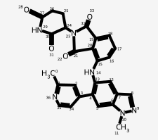 Cc1cc(-c2cc3c(cnn3C)cc2Nc2cccc3c2C(=O)N(C2CCC(=O)NC2=O)C3=O)ccn1